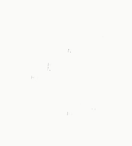 CNc1cc(C(=O)O)cc2cc(F)cnc12